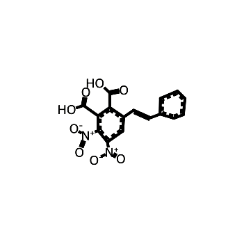 O=C(O)c1c(C=Cc2ccccc2)cc([N+](=O)[O-])c([N+](=O)[O-])c1C(=O)O